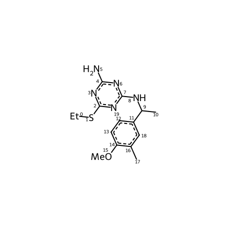 CCSc1nc(N)nc(NC(C)c2ccc(OC)c(C)c2)n1